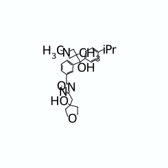 CC(C)c1ccc([C@](O)(c2cccc(-c3nc(CC4(O)CCOCC4)no3)c2)C2(C)CN(C)C2)cc1